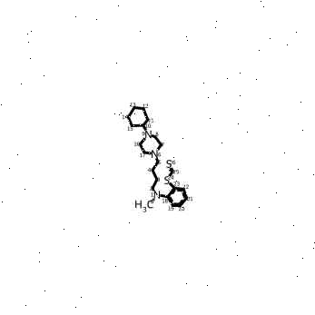 CN(CCCCN1CCN(C2CCCCC2)CC1)c1ccccc1SC=S